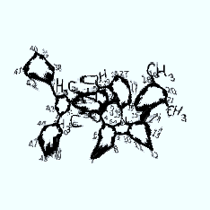 Cc1ccc(-c2cccc3c4cccc(-c5ccc(C)cc5C)c4n(-c4cccc5c4C(=O)N(c4cc(-c6ccccc6)cc(-c6ccccc6)c4)C5O)c23)c(C)c1